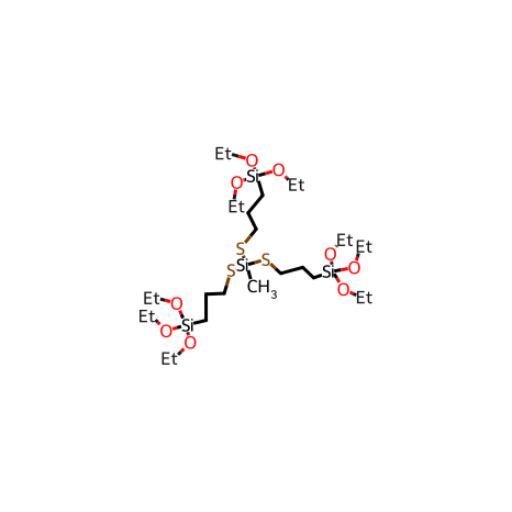 CCO[Si](CCCS[Si](C)(SCCC[Si](OCC)(OCC)OCC)SCCC[Si](OCC)(OCC)OCC)(OCC)OCC